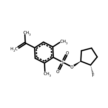 C=C(C)c1cc(C)c(S(=O)(=O)O[C@H]2CCC[C@@H]2F)c(C)c1